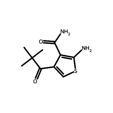 CC(C)(C)C(=O)c1csc(N)c1C(N)=O